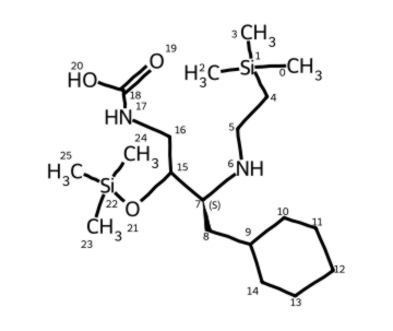 C[Si](C)(C)CCN[C@@H](CC1CCCCC1)C(CNC(=O)O)O[Si](C)(C)C